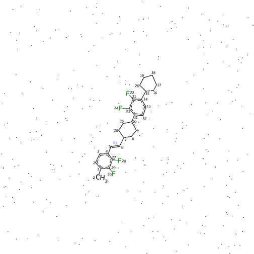 Cc1ccc(/C=C/C2CCC(c3ccc(C4CCCCC4)c(F)c3F)CC2)c(F)c1F